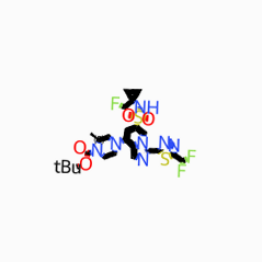 C[C@H]1CN(c2cc(S(=O)(=O)NC3(CF)CC3)cn3c(-c4nnc(C(F)F)s4)ncc23)CCN1C(=O)OC(C)(C)C